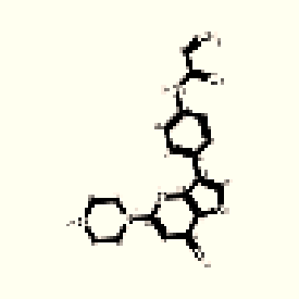 C=CC(=O)Nc1ccc(-c2csc3c(=O)cc(N4CCOCC4)oc23)cc1